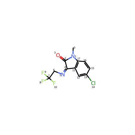 CN1C(=O)C(=NCC(F)(F)F)c2cc(Cl)ccc21